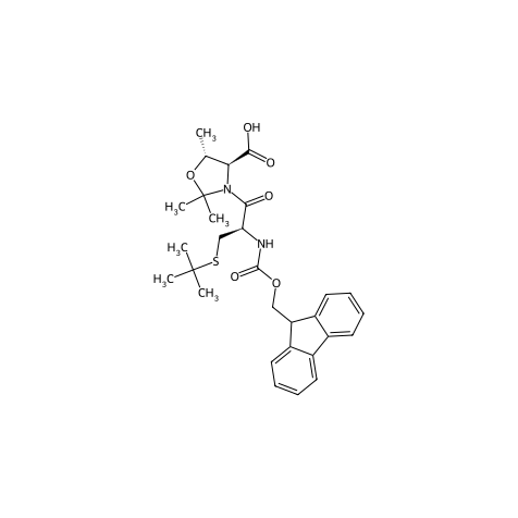 C[C@H]1OC(C)(C)N(C(=O)[C@H](CSC(C)(C)C)NC(=O)OCC2c3ccccc3-c3ccccc32)[C@@H]1C(=O)O